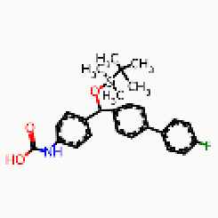 CC(C)(C)[Si](C)(C)OC(c1ccc(NC(=O)O)cc1)c1ccc(-c2ccc(F)cc2)cc1